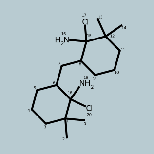 CC1(C)CCCC(CC2CCCC(C)(C)C2(N)Cl)C1(N)Cl